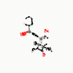 CC1C(=O)[C@@]2(C)CC[C@@H](O)[C@H](C#C[C@@H](O)C3CCCCC3)[C@@H]12